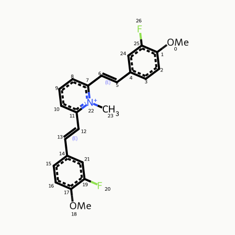 COc1ccc(/C=C/c2cccc(/C=C/c3ccc(OC)c(F)c3)[n+]2C)cc1F